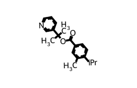 Cc1cc(C(=O)OC(C)(C)c2cccnc2)ccc1C(C)C